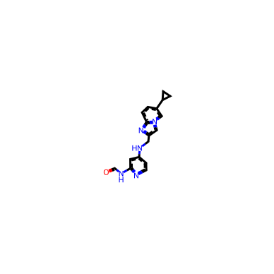 O=CNc1cc(NCc2cn3cc(C4CC4)ccc3n2)ccn1